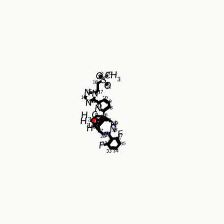 CC1(C)[C@H]2CC[C@]1(c1cccc(-c3ncnn3CCS(C)(=O)=O)n1)C1C#CC2/C=C(c2c(F)cccc2F)\N=N/1